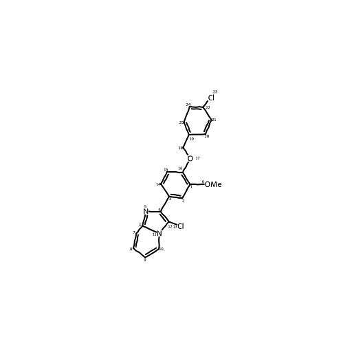 COc1cc(-c2nc3ccccn3c2Cl)ccc1OCc1ccc(Cl)cc1